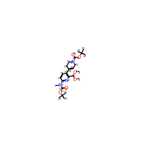 COC(OC)c1nc(N(C)C(=O)OC(C)(C)C)ccc1C1=CCN(C(=O)OC(C)(C)C)CC1